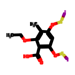 CCOc1c(C)c(OSI)cc(OSI)c1C(=O)O